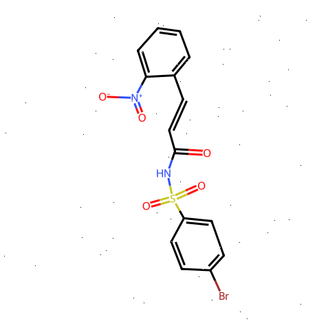 O=C(C=Cc1ccccc1[N+](=O)[O-])NS(=O)(=O)c1ccc(Br)cc1